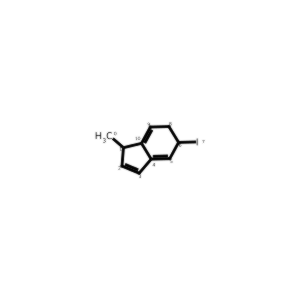 CC1C=CC2=CC(I)CC=C21